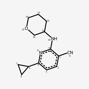 N#Cc1ccc(C2CC2)nc1NC1CCCOC1